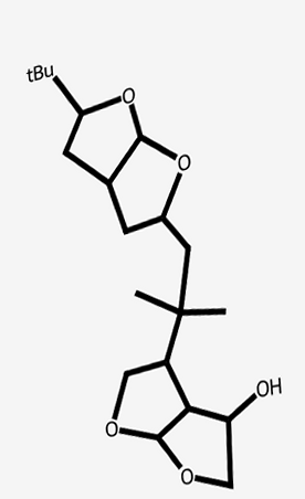 CC(C)(C)C1CC2CC(CC(C)(C)C3COC4OCC(O)C43)OC2O1